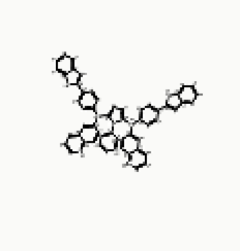 c1ccc(-n2c(N(c3ccc(-c4cc5ccccc5s4)cc3)c3ccc4ncccc4c3)ccc2N(c2ccc(-c3cc4ccccc4s3)cc2)c2ccc3ncccc3c2)cc1